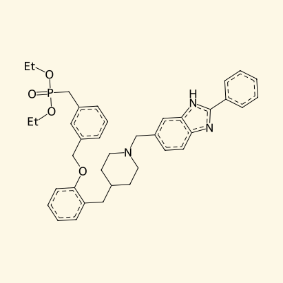 CCOP(=O)(Cc1cccc(COc2ccccc2CC2CCN(Cc3ccc4nc(-c5ccccc5)[nH]c4c3)CC2)c1)OCC